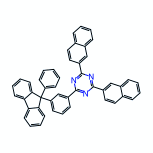 c1ccc(C2(c3cccc(-c4nc(-c5ccc6ccccc6c5)nc(-c5ccc6ccccc6c5)n4)c3)c3ccccc3-c3ccccc32)cc1